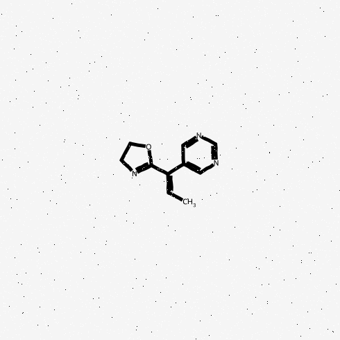 C/C=C(/C1=NCCO1)c1cncnc1